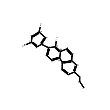 CCCc1ccc2c(ccc3c(F)c(-c4cc(F)cc(F)c4)ccc32)c1